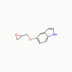 c1cc2cc(OCC3CO3)ccc2[nH]1